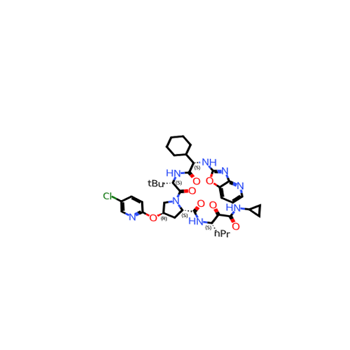 CCC[C@H](NC(=O)[C@@H]1C[C@@H](Oc2ccc(Cl)cn2)CN1C(=O)[C@@H](NC(=O)[C@@H](Nc1nc2ncccc2o1)C1CCCCC1)C(C)(C)C)C(=O)C(=O)NC1CC1